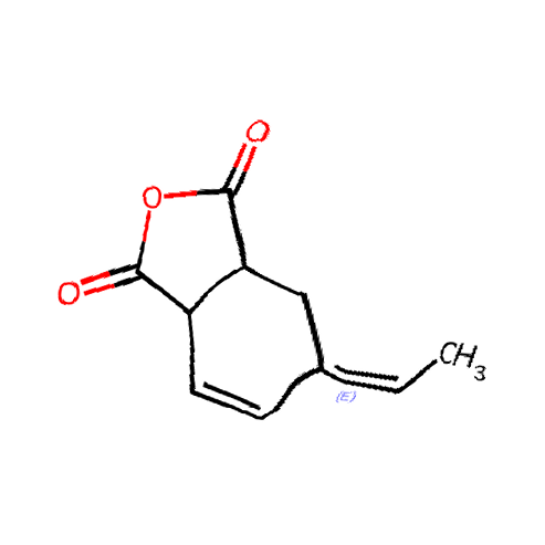 C/C=C1/C=CC2C(=O)OC(=O)C2C1